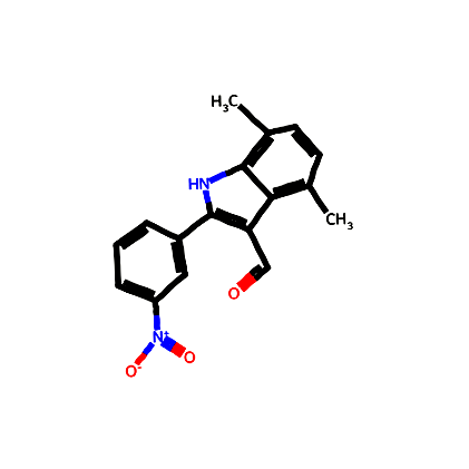 Cc1ccc(C)c2c(C=O)c(-c3cccc([N+](=O)[O-])c3)[nH]c12